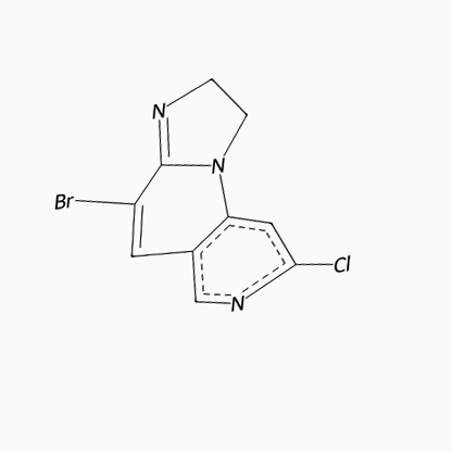 Clc1cc2c(cn1)C=C(Br)C1=NCCN12